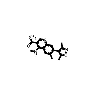 CNc1c(C(N)=O)cnc2cc(-c3c(C)noc3C)c(C)cc12